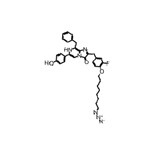 [N-]=[N+]=NCCCCCCCCOc1ccc(Cc2nc3c(Cc4ccccc4)[nH]c(-c4ccc(O)cc4)cn-3c2=O)cc1F